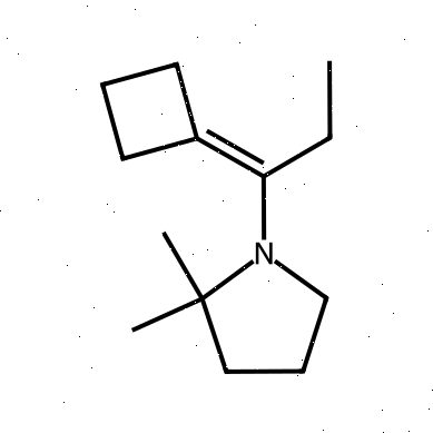 CCC(=C1CCC1)N1CCCC1(C)C